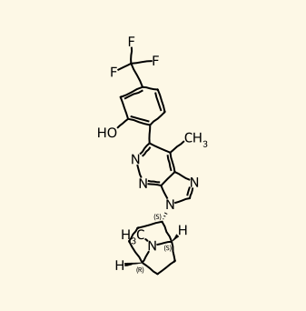 Cc1c(-c2ccc(C(F)(F)F)cc2O)nnc2c1ncn2[C@H]1CC[C@H]2CC[C@@H]1N2C